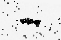 Cc1cn2cc(-c3ccc4c(=O)n(C5CCNC6(CC6)C5)ncc4c3)cc(Cl)c2n1